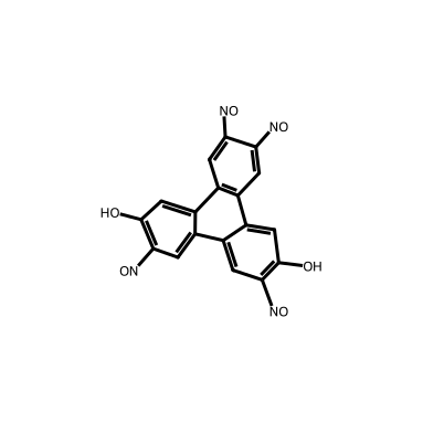 O=Nc1cc2c(cc1O)c1cc(N=O)c(N=O)cc1c1cc(O)c(N=O)cc12